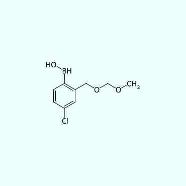 COCOCc1cc(Cl)ccc1BO